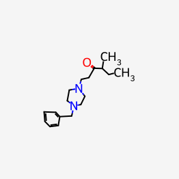 CCC(C)C(=O)CCN1CCN(Cc2ccccc2)CC1